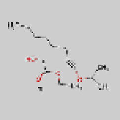 CCCCCCC#COC(C)C.CCOC(=O)CO.[Ti]